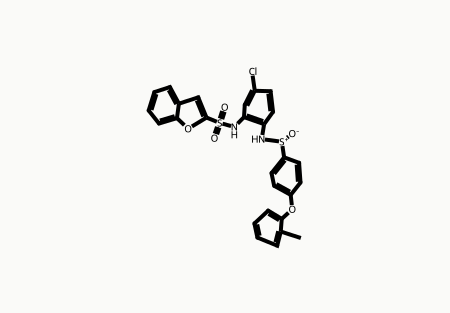 Cc1ccccc1Oc1ccc([S+]([O-])Nc2ccc(Cl)cc2NS(=O)(=O)c2cc3ccccc3o2)cc1